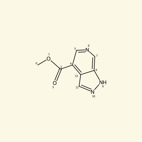 COC(=O)c1cncc2[nH]ncc12